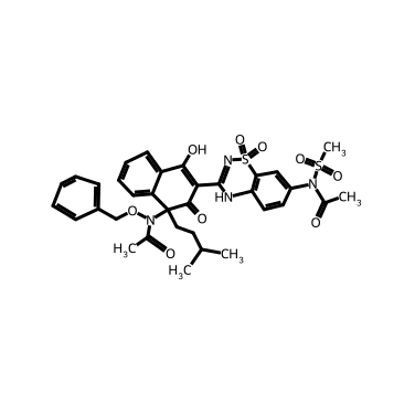 CC(=O)N(OCc1ccccc1)C1(CCC(C)C)C(=O)C(C2=NS(=O)(=O)c3cc(N(C(C)=O)S(C)(=O)=O)ccc3N2)=C(O)c2ccccc21